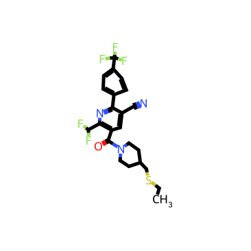 CCSCC1CCN(C(=O)c2cc(C#N)c(-c3ccc(C(F)(F)F)cc3)nc2C(F)F)CC1